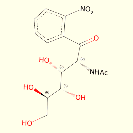 CC(=O)N[C@@H](C(=O)c1ccccc1[N+](=O)[O-])[C@@H](O)[C@H](O)[C@H](O)CO